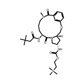 CN1CCC[C@H](NC(=O)CC(C)(C)C)C(=O)N2C[C@@H](NC(=O)OCC[Si](C)(C)C)C[C@H]2COc2cccc(c2)C1=O